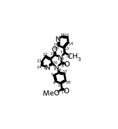 COC(=O)c1ccc(-n2c(=O)n(C(C)c3cccnc3)c(=O)c3cccnc32)cc1